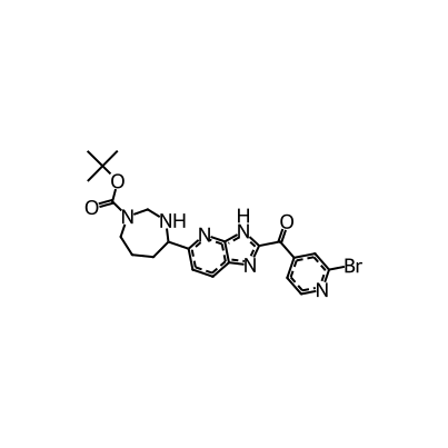 CC(C)(C)OC(=O)N1CCCC(c2ccc3nc(C(=O)c4ccnc(Br)c4)[nH]c3n2)NC1